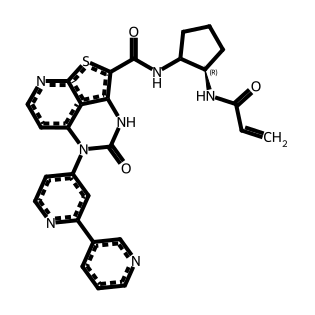 C=CC(=O)N[C@@H]1CCCC1NC(=O)c1sc2nccc3c2c1NC(=O)N3c1ccnc(-c2cccnc2)c1